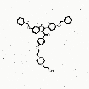 O=C(c1ccc(OCCN2CCN(CCO)CC2)cc1)c1c(-c2ccc(OCc3ccccc3)cc2)sc2cc(OCc3ccccc3)ccc12